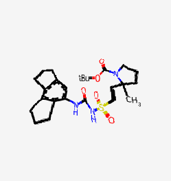 CC(C)(C)OC(=O)N1CCCC1(C)C=CS(=O)(=O)NC(=O)Nc1cc2c(c3c1CCC3)CCC2